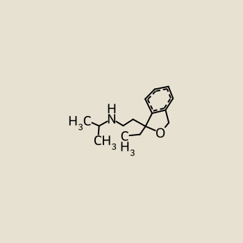 CCC1(CCNC(C)C)OCc2ccccc21